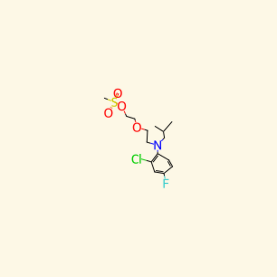 CC(C)CN(CCOCCOS(C)(=O)=O)c1ccc(F)cc1Cl